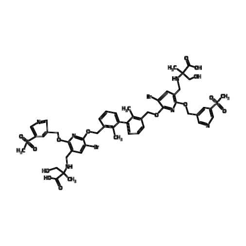 Cc1c(COc2nc(OCc3cncc(S(C)(=O)=O)c3)c(CNC(C)(CO)C(=O)O)cc2Br)cccc1-c1cccc(COc2nc(OCc3cncc(S(C)(=O)=O)c3)c(CNC(C)(CO)C(=O)O)cc2Br)c1C